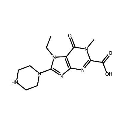 CCn1c(N2CCNCC2)nc2nc(C(=O)O)n(C)c(=O)c21